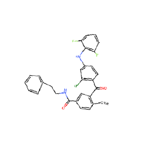 COc1ccc(C(=O)NCCc2ccccc2)cc1C(=O)c1ccc(Nc2c(F)cccc2F)cc1Cl